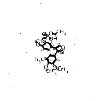 CCOP(=O)(O)Oc1cc(-c2conc2-c2cc(C)c(OC)c(OC)c2)ccc1OC